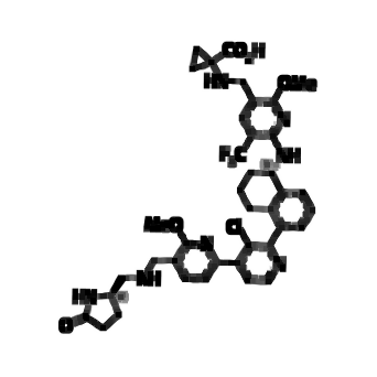 COc1nc(-c2ccnc(-c3cccc4c3CCC[C@@H]4Nc3nc(OC)c(CNC4(C(=O)O)CC4)cc3C(F)(F)F)c2Cl)ccc1CNC[C@H]1CCC(=O)N1